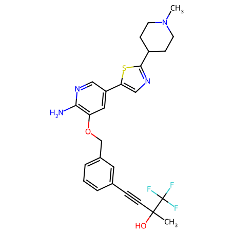 CN1CCC(c2ncc(-c3cnc(N)c(OCc4cccc(C#CC(C)(O)C(F)(F)F)c4)c3)s2)CC1